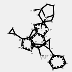 CCOC(=O)c1ccc2nc(N3C4CC[C@H]3C[C@H](OCc3c(C5CC5c5ccccc5)noc3C3CC3)C4)sc2c1